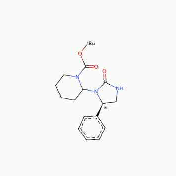 CC(C)(C)OC(=O)N1CCCCC1N1C(=O)NC[C@H]1c1ccccc1